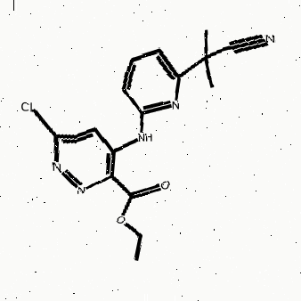 CCOC(=O)c1nnc(Cl)cc1Nc1cccc(C(C)(C)C#N)n1